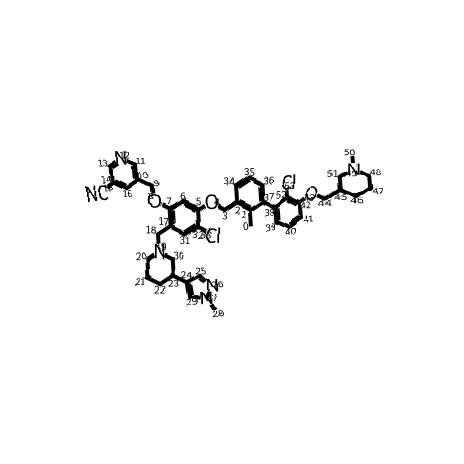 Cc1c(COc2cc(OCc3cncc(C#N)c3)c(CN3CCCC(c4cnn(C)c4)C3)cc2Cl)cccc1-c1cccc(OCC2CCCN(C)C2)c1Cl